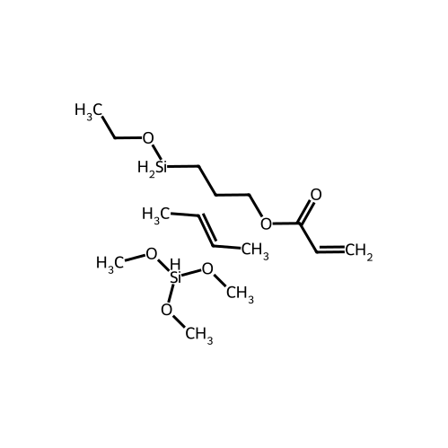 C=CC(=O)OCCC[SiH2]OCC.CC=CC.CO[SiH](OC)OC